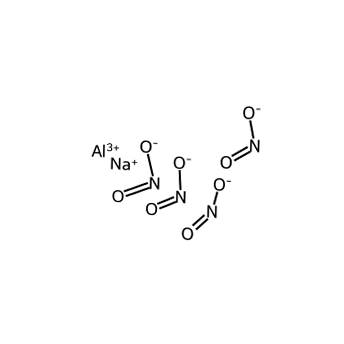 O=N[O-].O=N[O-].O=N[O-].O=N[O-].[Al+3].[Na+]